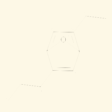 CCCc1cc2oc1cc2CC